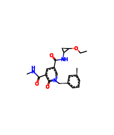 CCOC1CC1NC(=O)c1cc(C(=O)NC)c(=O)n(Cc2cccc(C)c2)c1